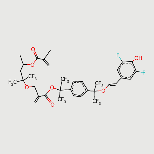 C=C(C)C(=O)OC(C)CC(OCC(=C)C(=O)OC(c1ccc(C(O/C=C/c2cc(F)c(O)c(F)c2)(C(F)(F)F)C(F)(F)F)cc1)(C(F)(F)F)C(F)(F)F)(C(F)(F)F)C(F)(F)F